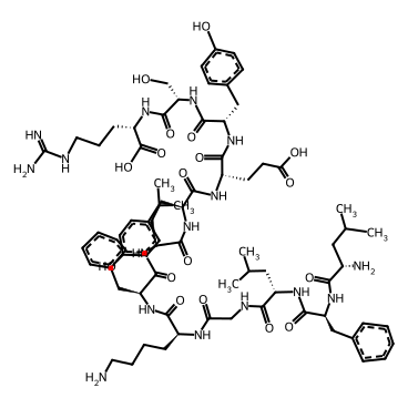 CC(C)C[C@H](NC(=O)[C@H](Cc1ccccc1)NC(=O)[C@@H](N)CC(C)C)C(=O)NCC(=O)N[C@@H](CCCCN)C(=O)N[C@@H](Cc1ccccc1)C(=O)N[C@@H](CC(C)C)C(=O)N[C@@H](Cc1ccc(O)cc1)C(=O)N[C@@H](CCC(=O)O)C(=O)N[C@@H](Cc1ccc(O)cc1)C(=O)N[C@@H](CO)C(=O)N[C@@H](CCCNC(=N)N)C(=O)O